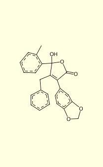 Cc1ccccc1C1(O)OC(=O)C(c2ccc3c(c2)OCO3)=C1Cc1ccccc1